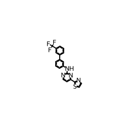 FC(F)(F)c1cccc(-c2cccc(Nc3nccc(-c4nccs4)n3)c2)c1